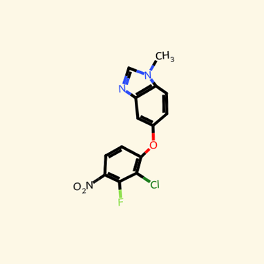 Cn1cnc2cc(Oc3ccc([N+](=O)[O-])c(F)c3Cl)ccc21